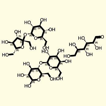 O=C[C@H](O)[C@@H](O)[C@H](O)[C@H](O)CO.OC[C@H]1O[C@@H](O[C@H]2[C@H](O)[C@@H](O)[C@H](O)O[C@@H]2CO)[C@H](O)[C@@H](O)[C@H]1O.OC[C@H]1O[C@@](CO)(O[C@H]2O[C@H](CO)[C@@H](O)[C@H](O)[C@H]2O)[C@@H](O)[C@@H]1O